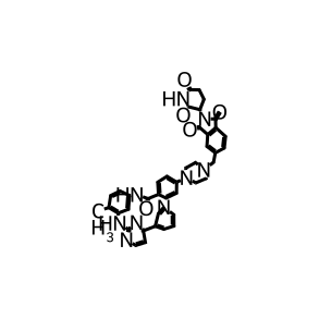 Cc1ccc(NC(=O)c2ccc(N3CCN(Cc4ccc5c(c4)C(=O)N(C4CCC(=O)NC4=O)C5=O)CC3)cc2)cc1Nc1nccc(-c2cccnc2)n1